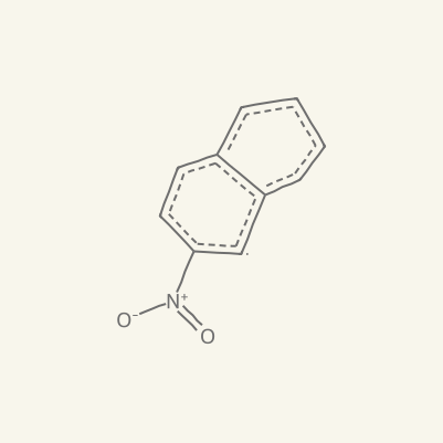 O=[N+]([O-])c1[c]c2ccccc2cc1